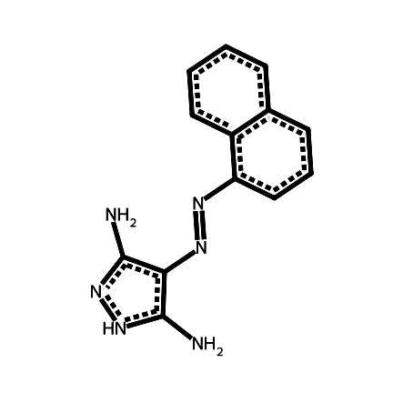 Nc1n[nH]c(N)c1N=Nc1cccc2ccccc12